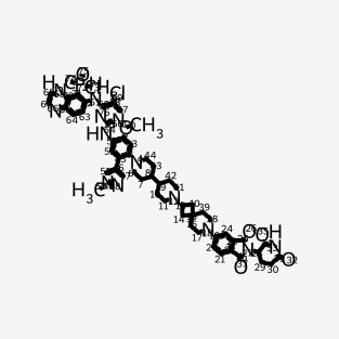 COc1cc(N2CCC(C3CCN(C4CC5(CCN(c6ccc7c(c6)C(=O)N(C6CCC(=O)NC6=O)C7=O)CC5)C4)CC3)CC2)c(-c2cnn(C)c2)cc1Nc1ncc(Cl)c(Nc2ccc3nccnc3c2P(C)(C)=O)n1